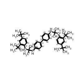 CC(C)(Oc1ccc(C(C)(C)C)cc1C(C)(C)C)Pc1ccc(-c2ccc(PC(C)(C)Oc3ccc(C(C)(C)C)cc3C(C)(C)C)cc2)cc1